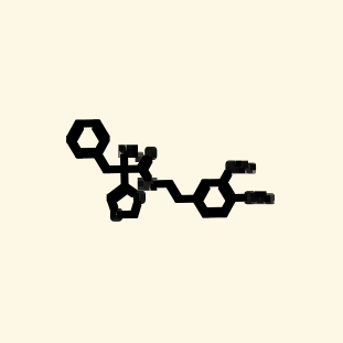 COc1ccc(CCNC(=O)C(N)(Cc2ccccc2)C2=COCO2)cc1OC